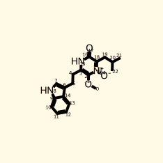 COc1c(CCc2c[nH]c3ccccc23)[nH]c(=O)c(CC(C)C)[n+]1[O-]